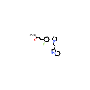 COC(=O)C=Cc1ccc([C@@H]2CCCN2CCc2cnn3ccccc23)cc1F